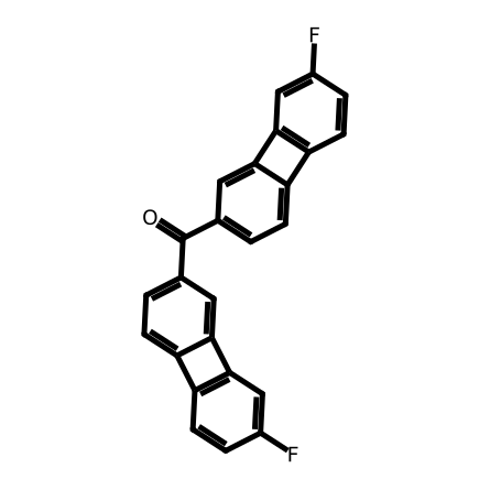 O=C(c1ccc2c(c1)-c1cc(F)ccc1-2)c1ccc2c(c1)-c1cc(F)ccc1-2